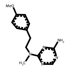 COc1ccc(CCN(C)c2ncnc(N)n2)cc1